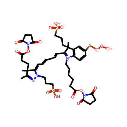 CC1=NN(CCCS(=O)(=O)O)\C(=C/C=C/C=C/C2=[N+](CCCCCC(=O)ON3C(=O)CCC3=O)c3ccc(SOOO)cc3C2(C)CCCS(=O)(=O)O)C1(C)CCC(=O)ON1C(=O)CCC1=O